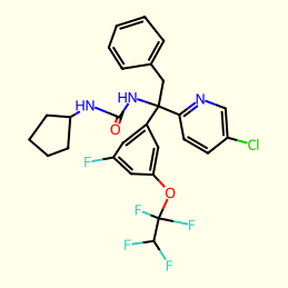 O=C(NC1CCCC1)NC(Cc1ccccc1)(c1cc(F)cc(OC(F)(F)C(F)F)c1)c1ccc(Cl)cn1